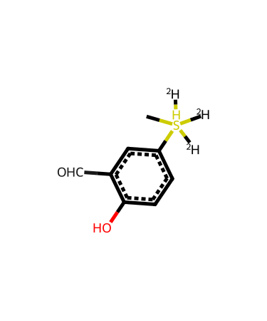 [2H][SH]([2H])([2H])(C)c1ccc(O)c(C=O)c1